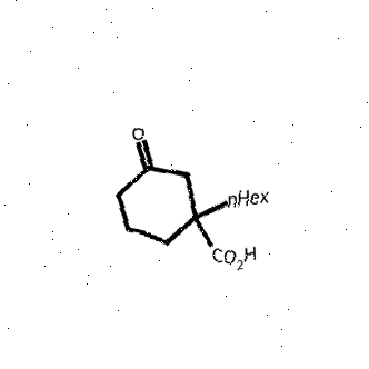 CCCCCCC1(C(=O)O)CCCC(=O)C1